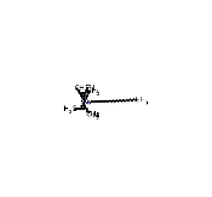 CCCCCCCCCCCCCCCCCCCCCCCCCCCC/C=C/C(=N\c1cc(CCCC)cc(CCCC)c1)C(/CCCCCC)=N/c1cc(CCCC)cc(CCCC)c1.[Ni]